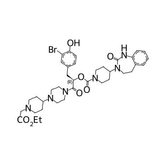 CCOC(=O)CN1CCC(N2CCN(C(=O)[C@@H](Cc3ccc(O)c(Br)c3)OC(=O)N3CCC(N4CCc5ccccc5NC4=O)CC3)CC2)CC1